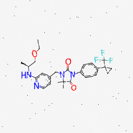 CCOC[C@H](C)Nc1cc(CN2C(=O)N(c3ccc(C4(C(F)(F)F)CC4)cc3)C(=O)C2(C)C)ccn1